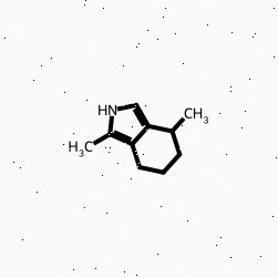 Cc1[nH]cc2c1CCCC2C